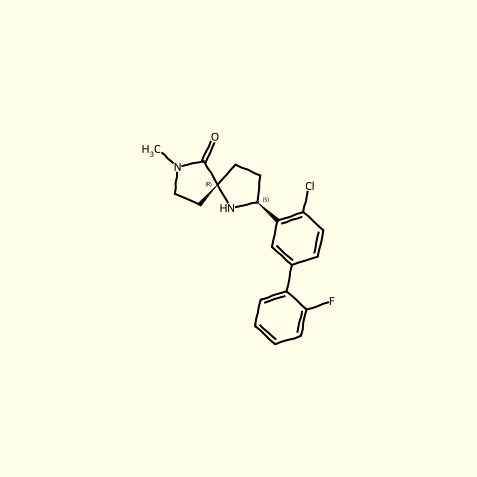 CN1CC[C@]2(CC[C@@H](c3cc(-c4ccccc4F)ccc3Cl)N2)C1=O